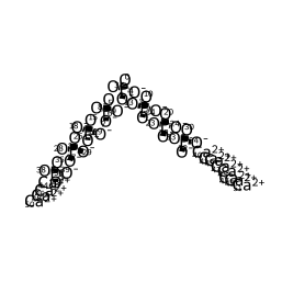 O=P([O-])([O-])[O-].O=P([O-])([O-])[O-].O=P([O-])([O-])[O-].O=P([O-])([O-])[O-].O=P([O-])([O-])[O-].O=P([O-])([O-])[O-].O=P([O-])([O-])[O-].O=P([O-])([O-])[O-].[Ca+2].[Ca+2].[Ca+2].[Ca+2].[Ca+2].[Ca+2].[Ca+2].[Ca+2].[Ca+2].[Ca+2].[Ca+2].[Ca+2]